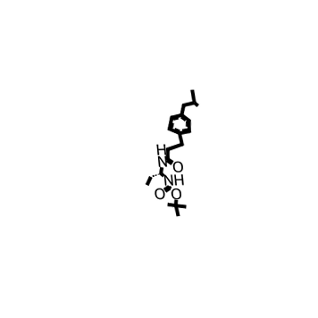 CC[C@H](NC(=O)CCc1ccc(CC(C)C)cc1)NC(=O)OC(C)(C)C